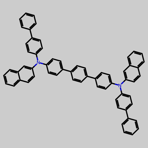 c1ccc(-c2ccc(N(c3ccc(-c4ccc(-c5ccc(N(c6ccc(-c7ccccc7)cc6)c6ccc7ccccc7c6)cc5)cc4)cc3)c3ccc4ccccc4c3)cc2)cc1